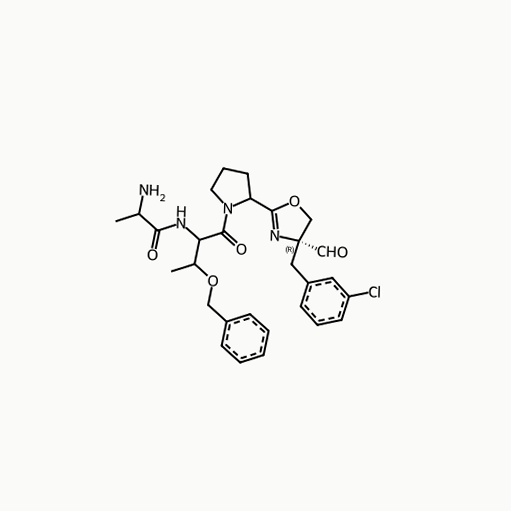 CC(N)C(=O)NC(C(=O)N1CCCC1C1=N[C@](C=O)(Cc2cccc(Cl)c2)CO1)C(C)OCc1ccccc1